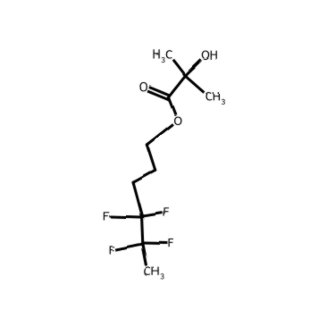 CC(C)(O)C(=O)OCCCC(F)(F)C(C)(F)F